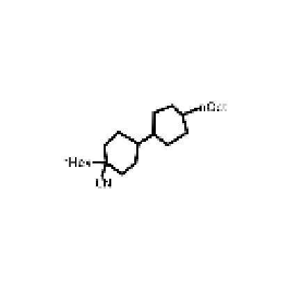 CCCCCCCCC1CCC(C2CCC(C#N)(CCCCCC)CC2)CC1